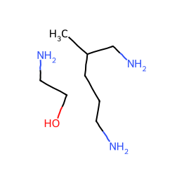 CC(CN)CCCN.NCCO